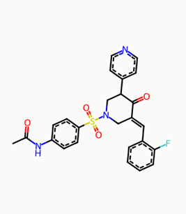 CC(=O)Nc1ccc(S(=O)(=O)N2CC(=Cc3ccccc3F)C(=O)C(c3ccncc3)C2)cc1